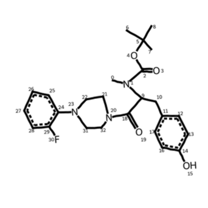 CN(C(=O)OC(C)(C)C)C(Cc1ccc(O)cc1)C(=O)N1CCN(c2ccccc2F)CC1